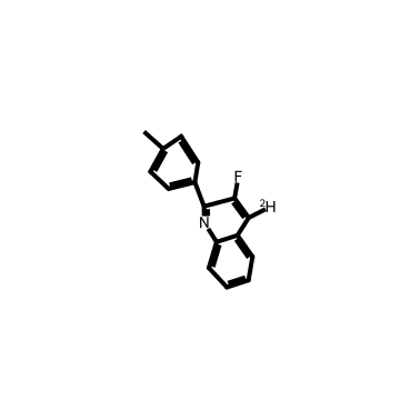 [2H]c1c(F)c(-c2ccc(C)cc2)nc2ccccc12